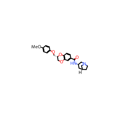 COc1ccc(OC[C@H]2COc3cc(C(=O)N[C@@H]4C[C@@H]5CCN(C5)C4)ccc3O2)cc1